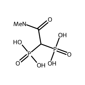 CNC(=O)C(P(=O)(O)O)P(=O)(O)O